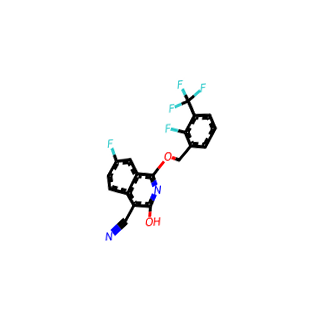 N#Cc1c(O)nc(OCc2cccc(C(F)(F)F)c2F)c2cc(F)ccc12